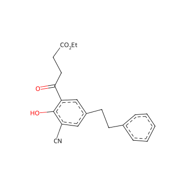 CCOC(=O)CCC(=O)c1cc(CCc2ccccc2)cc(C#N)c1O